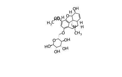 CC(=O)O.CN1CC[C@]23c4c5c(OC[C@H]6O[C@H](O)[C@@H](O)[C@@H](O)[C@@H]6O)cc(O)c4O[C@H]2[C@@H](O)C=C[C@H]3[C@H]1C5